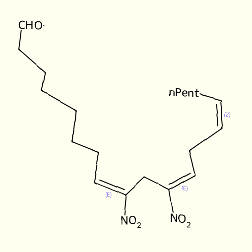 CCCCC/C=C\C/C=C(\C/C(=C\CCCCCC[C]=O)[N+](=O)[O-])[N+](=O)[O-]